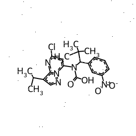 CC(C)c1cnn2c(N(C(=O)O)C(c3cccc([N+](=O)[O-])c3)C(C)(C)C)cc(Cl)nc12